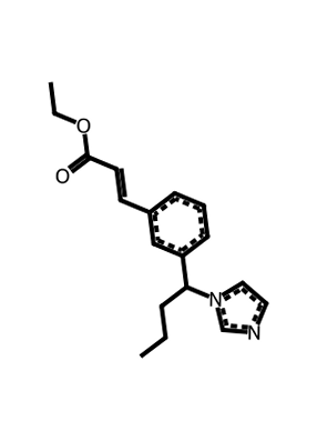 CCCC(c1cccc(/C=C/C(=O)OCC)c1)n1ccnc1